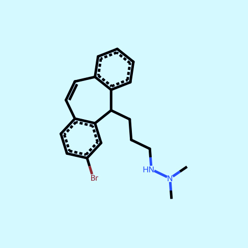 CN(C)NCCCC1c2ccccc2C=Cc2ccc(Br)cc21